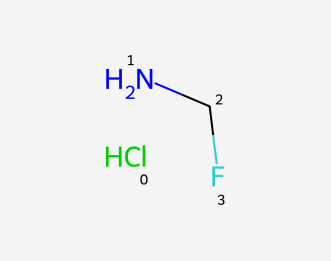 Cl.NCF